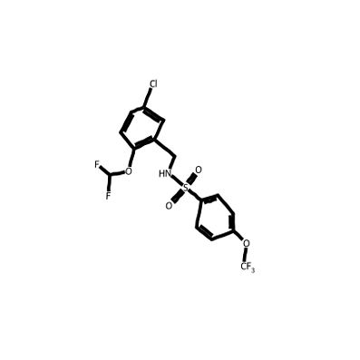 O=S(=O)(NCc1cc(Cl)ccc1OC(F)F)c1ccc(OC(F)(F)F)cc1